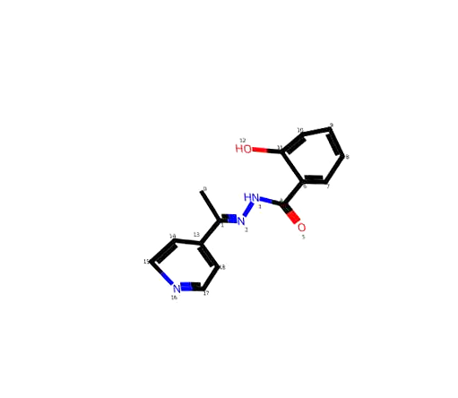 C/C(=N\NC(=O)c1ccccc1O)c1ccncc1